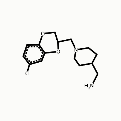 NCC1CCN(CC2COc3ccc(Cl)cc3O2)CC1